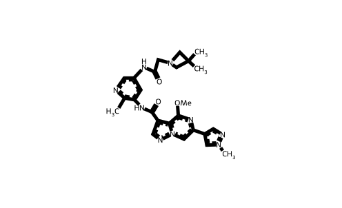 COc1nc(-c2cnn(C)c2)cn2ncc(C(=O)Nc3cc(NC(=O)CN4CC(C)(C)C4)cnc3C)c12